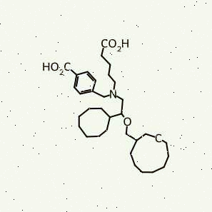 O=C(O)CCCCN(Cc1ccc(C(=O)O)cc1)CC(OCC1CCCCCCCCC1)C1CCCCCCC1